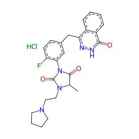 CC1C(=O)N(c2cc(Cc3n[nH]c(=O)c4ccccc34)ccc2F)C(=O)N1CCN1CCCC1.Cl